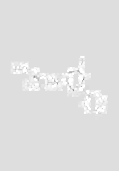 OC[C@H](O)CNc1cc(I)cc(N2CCOCC2)n1